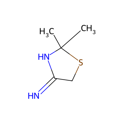 CC1(C)NC(=N)CS1